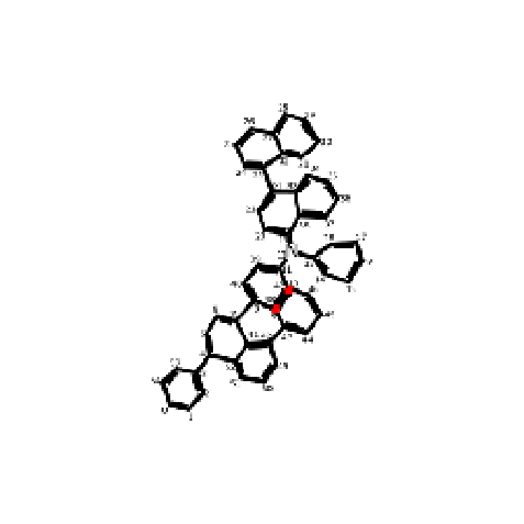 c1ccc(-c2ccc(-c3ccc(N(c4ccccc4)c4ccc(-c5cccc6ccccc56)c5ccccc45)cc3)c3c(-c4ccccc4)cccc23)cc1